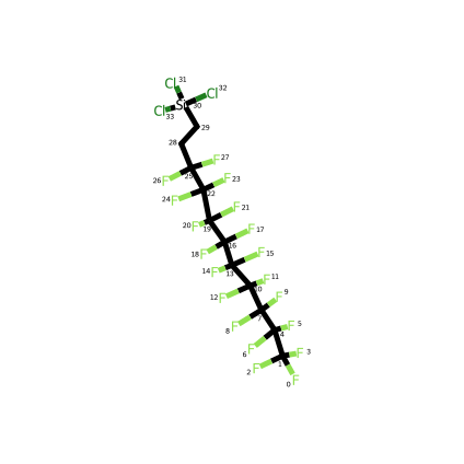 FC(F)(F)C(F)(F)C(F)(F)C(F)(F)C(F)(F)C(F)(F)C(F)(F)C(F)(F)C(F)(F)CC[Si](Cl)(Cl)Cl